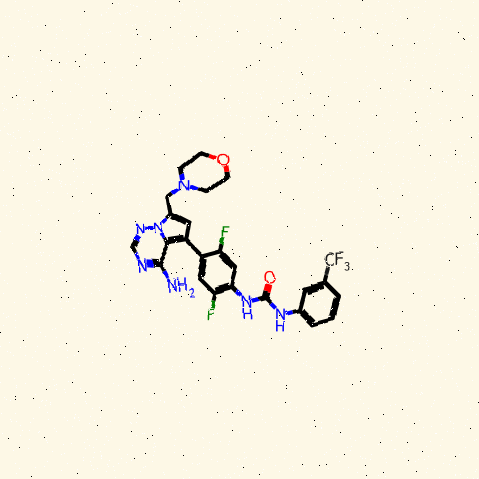 Nc1ncnn2c(CN3CCOCC3)cc(-c3cc(F)c(NC(=O)Nc4cccc(C(F)(F)F)c4)cc3F)c12